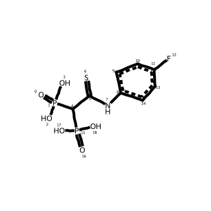 O=P(O)(O)C(C(=S)Nc1ccc(F)cc1)P(=O)(O)O